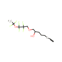 C=CCCCCC(O)COCC(F)(F)C(F)(F)OC(F)(F)C(F)(F)F